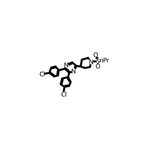 CCCS(=O)(=O)N1CCC(c2cnc(-c3ccc(Cl)cc3)c(-c3ccc(Cl)cc3)n2)CC1